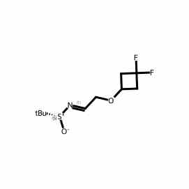 CC(C)(C)[S@@+]([O-])/N=C/COC1CC(F)(F)C1